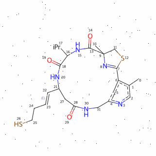 Cc1cnc2cc1C1=NC(C)(CS1)C(=O)NC(C(C)C)C(=O)NC(/C=C/CCS)CC(=O)NC2